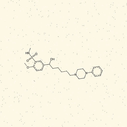 CNS(=O)(=O)c1cc(C(O)CCCCCN2CCN(c3ccccc3)CC2)ccc1OC